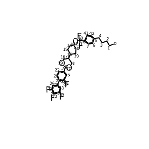 CCCCCc1ccc(C(F)(F)OC2CCC(C3COC(c4ccc(-c5cc(F)c(F)c(F)c5)c(F)c4)OC3)CC2)cc1